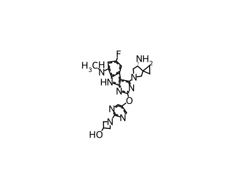 CNc1cc(F)cc2c1[nH]c1nc(Oc3cnc(N4CC(O)C4)nc3)nc(N3C[C@H](N)C4(CC4)C3)c12